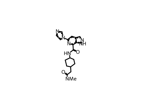 CNC(=O)CC1CCC(NC(=O)c2nc(-n3ccnc3)cc3cn[nH]c23)CC1